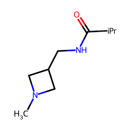 CC(C)C(=O)NCC1CN(C)C1